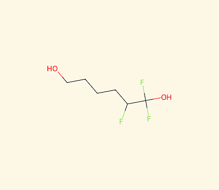 OCCCCC(F)C(O)(F)F